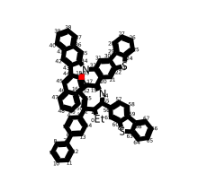 CCC1/C(c2ccc(-c3ccccc3)cc2)=C/C[C@@H](C)/C(c2cc3sc4ccccc4c3cc2-n2c3cc4ccccc4cc3c3cc4ccccc4cc32)=N\C1c1ccc2c(c1)sc1ccccc12